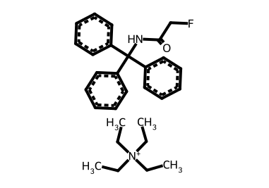 CC[N+](CC)(CC)CC.O=C(CF)NC(c1ccccc1)(c1ccccc1)c1ccccc1